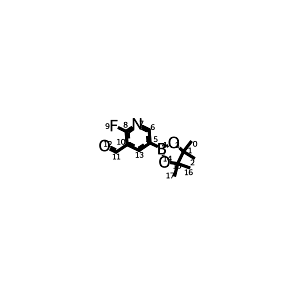 CC1(C)OB(c2cnc(F)c(C=O)c2)OC1(C)C